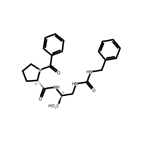 O=C(NCc1ccccc1)NC[C@H](NC(=O)[C@@H]1CCCN1C(=O)c1ccccc1)C(=O)O